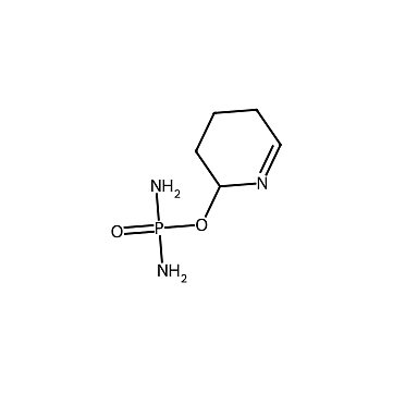 NP(N)(=O)OC1CCCC=N1